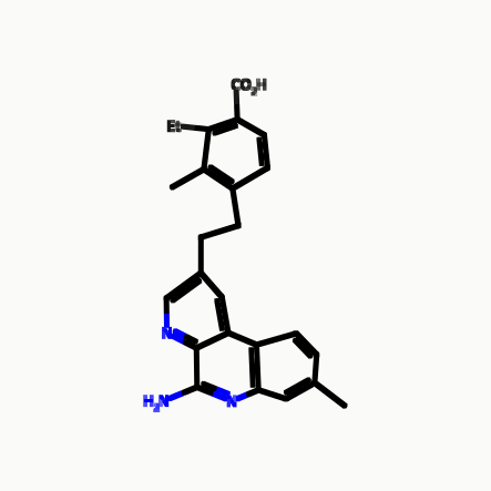 CCc1c(C(=O)O)ccc(CCc2cnc3c(N)nc4cc(C)ccc4c3c2)c1C